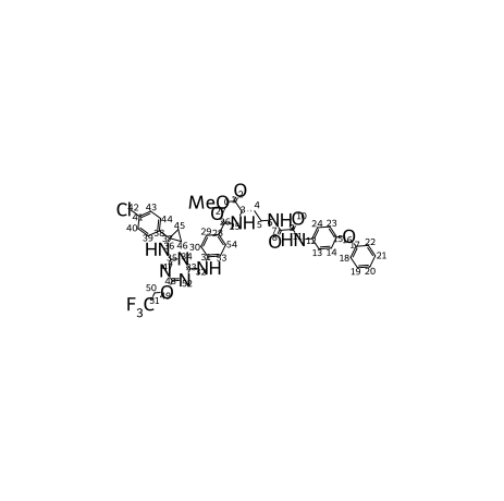 COC(=O)[C@H](CCNC(=O)C(=O)Nc1ccc(Oc2ccccc2)cc1)NC(=O)c1ccc(Nc2nc(NC3(c4ccc(Cl)cc4)CC3)nc(OCC(F)(F)F)n2)cc1